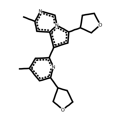 Cc1cc(-c2cc(C3CCOC3)n3cnc(C)cc23)nc(C2CCOC2)c1